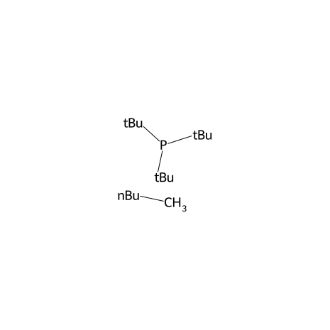 CC(C)(C)P(C(C)(C)C)C(C)(C)C.CCCCC